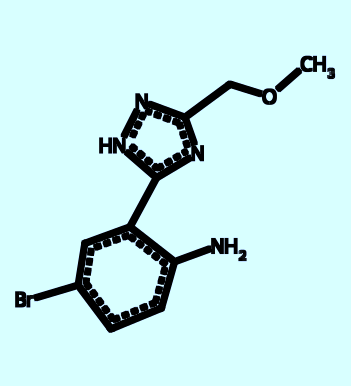 COCc1n[nH]c(-c2cc(Br)ccc2N)n1